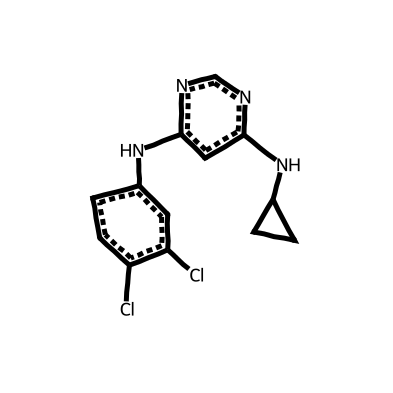 Clc1ccc(Nc2cc(NC3CC3)ncn2)cc1Cl